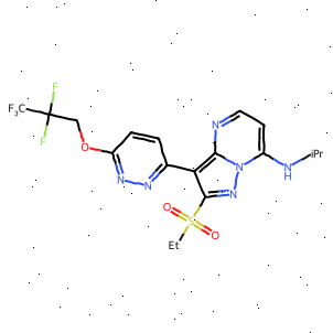 CCS(=O)(=O)c1nn2c(NC(C)C)ccnc2c1-c1ccc(OCC(F)(F)C(F)(F)F)nn1